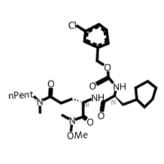 CCCCCN(C)C(=O)CC[C@H](NC(=O)[C@H](CC1CCCCC1)NC(=O)OCc1cccc(Cl)c1)C(=O)N(C)OC